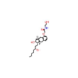 CCCCC[C@@H](O)CC[C@@H]1[C@H]2Cc3cccc(OCC(=O)NCCO)c3C[C@H]2C[C@H]1O